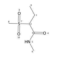 CCC(C(=O)NC)S(C)(=O)=O